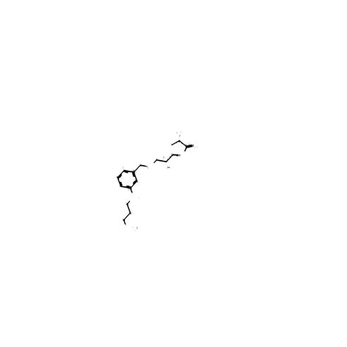 COCCCOc1cccc(COC[C@@H](O)[C@@H]2C[C@@H](C(C)C)C(=O)O2)c1